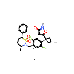 C[C@H]1CC[C@H](c2ccccc2)S(=O)(=O)N1Cc1cc(F)c([C@]2(c3cc(=O)n(C)o3)C[C@@H](C)C2)cc1F